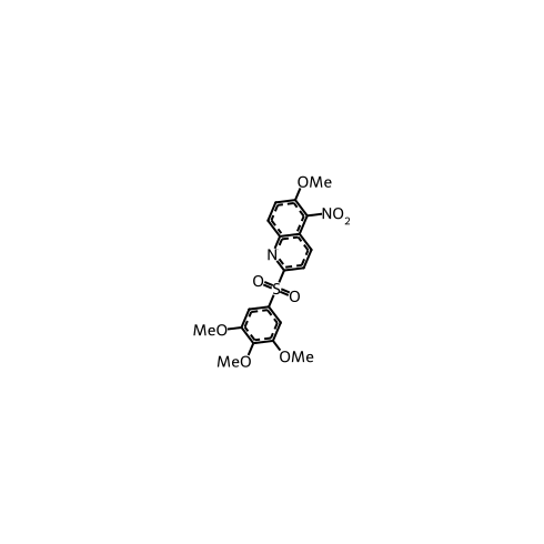 COc1cc(S(=O)(=O)c2ccc3c([N+](=O)[O-])c(OC)ccc3n2)cc(OC)c1OC